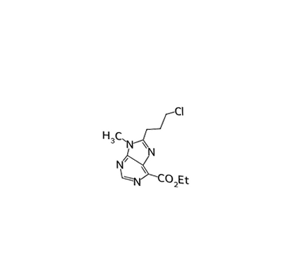 CCOC(=O)c1ncnc2c1nc(CCCCl)n2C